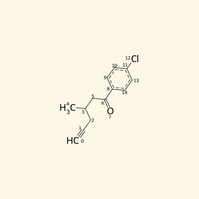 C#CCC(C)CC(=O)c1ccc(Cl)cc1